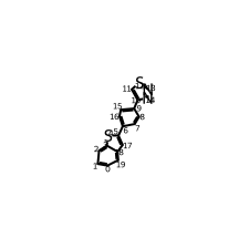 c1ccc2sc(-c3ccc(-c4csnn4)cc3)cc2c1